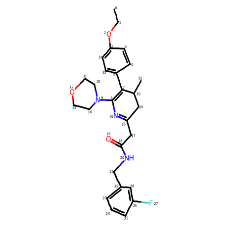 CCOc1ccc(C2=C(N3CCOCC3)N=C(CC(=O)NCc3cccc(F)c3)CC2C)cc1